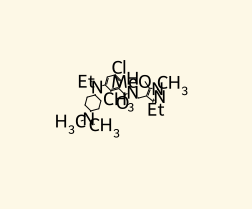 CCc1nn(C)c(OC)c1CNC(=O)c1cc(Cl)cc(N(CC)[C@H]2CC[C@H](N(C)C)CC2)c1C